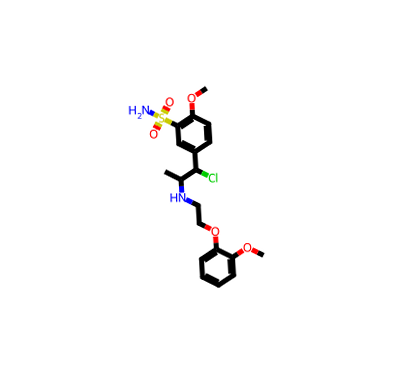 COc1ccccc1OCCNC(C)C(Cl)c1ccc(OC)c(S(N)(=O)=O)c1